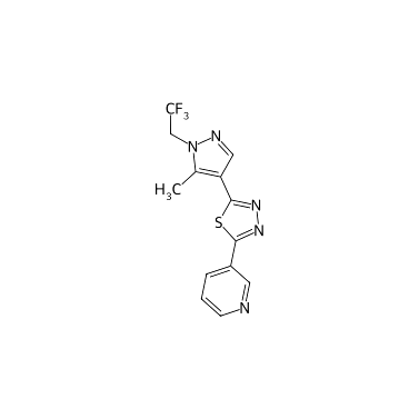 Cc1c(-c2nnc(-c3cccnc3)s2)cnn1CC(F)(F)F